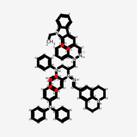 CCn1c2ccccc2c2cc(/C=N\N(CC(CN(/N=C/c3ccc(N(c4ccccc4)c4ccccc4)cc3)c3ccccc3)N(/N=C/c3cc4c5c(c3)CCCN5CCC4)c3ccccc3)c3ccccc3)ccc21